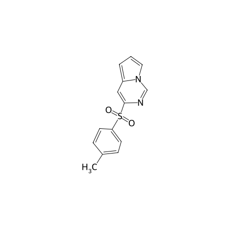 Cc1ccc(S(=O)(=O)c2cc3cccn3cn2)cc1